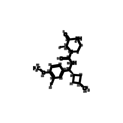 C[C@@H]1C(=O)NCCN1C(=O)NC(c1ccc(OC(F)(F)F)c(F)c1)[C@H]1C[C@H](C(F)(F)F)C1